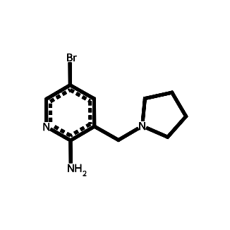 Nc1ncc(Br)cc1CN1CCCC1